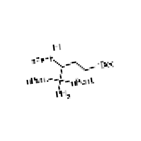 CCCCCCCCCCCCC(CCCCC)C(P)(CCCCC)CCCCC.I